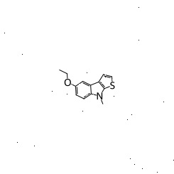 CCOc1ccc2c(c1)c1ccsc1n2C